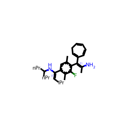 CCCC(CCC)N/C(=C/C(C)C)c1cc(C)c(/C(C2=CCC=CC=C2)=C(\C)N)c(F)c1C